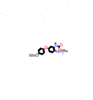 COc1ccc(Oc2ccc(N)c(N(C)C(=O)OC(C)(C)C)c2)cc1